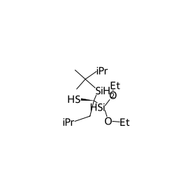 CCO[SiH](OCC)[C@](S)(CC(C)C)[SiH2]C(C)(C)C(C)C